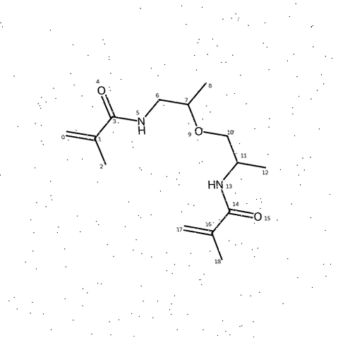 C=C(C)C(=O)NCC(C)OCC(C)NC(=O)C(=C)C